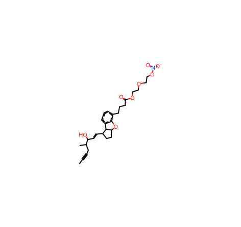 CC#CCC(C)C(O)/C=C/C1CCC2Oc3c(CCCC(=O)OCCOCCO[N+](=O)[O-])cccc3C12